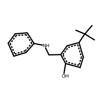 CC(C)(C)c1ccc(O)c(CNc2ccccc2)c1